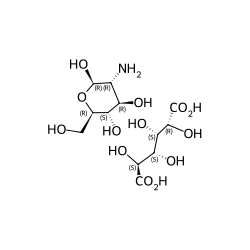 N[C@@H]1[C@@H](O)[C@H](O)[C@@H](CO)O[C@H]1O.O=C(O)[C@@H](O)[C@@H](O)[C@H](O)[C@@H](O)C(=O)O